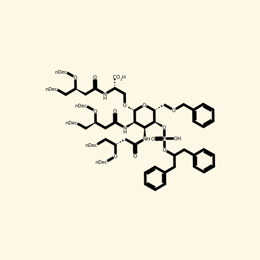 CCCCCCCCCCC[C@H](CC(=O)N[C@H]1[C@H](OC[C@H](NC(=O)C[C@@H](CCCCCCCCCCC)OCCCCCCCCCC)C(=O)O)O[C@H](COCc2ccccc2)[C@@H](OP(=O)(O)OC(Cc2ccccc2)Cc2ccccc2)[C@H]1NC(=O)C[C@@H](CCCCCCCCCCC)OCCCCCCCCCC)OCCCCCCCCCC